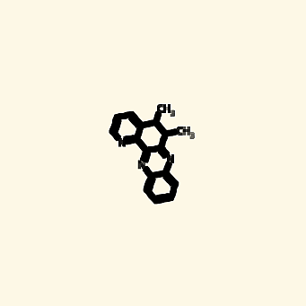 CC1c2cccnc2-c2nc3ccccc3nc2C1C